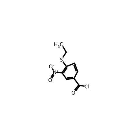 CCSc1ccc(C(=O)Cl)cc1[N+](=O)[O-]